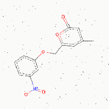 Cc1cc(COc2cccc([N+](=O)[O-])c2)oc(=O)c1